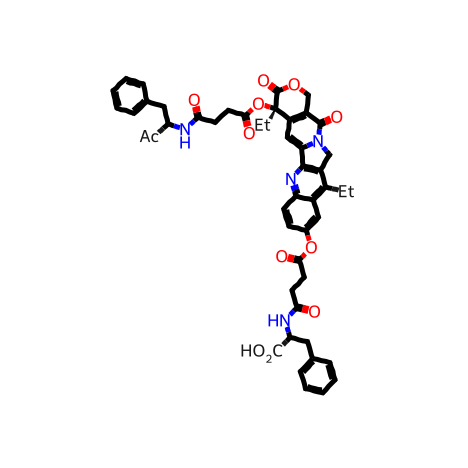 CCc1c2c(nc3ccc(OC(=O)CCC(=O)NC(Cc4ccccc4)C(=O)O)cc13)-c1cc3c(c(=O)n1C2)COC(=O)[C@@]3(CC)OC(=O)CCC(=O)NC(Cc1ccccc1)C(C)=O